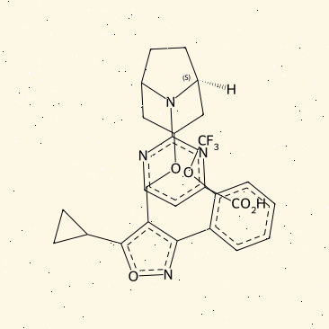 O=C(O)c1ccnc(N2C3CC[C@H]2CC(OCc2c(-c4ccccc4OC(F)(F)F)noc2C2CC2)C3)n1